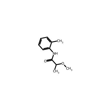 COC(C)C(=O)Nc1ccccc1C